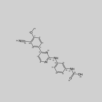 COc1ccc(-c2ccnc(Nc3cccc(NC(=O)O)c3)n2)cc1C#N